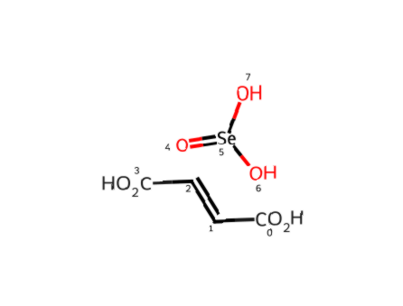 O=C(O)C=CC(=O)O.O=[Se](O)O